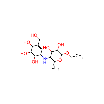 CCOC1OC(C)C(NC2C=C(CO)C(O)C(O)C2O)C(O)C1O